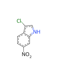 O=[N+]([O-])c1ccc2c(Cl)c[nH]c2c1